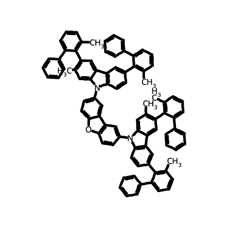 Cc1cc2c(cc1-c1c(C)cccc1-c1ccccc1)c1cc(-c3c(C)cccc3-c3ccccc3)ccc1n2-c1ccc2oc3ccc(-n4c5ccc(-c6c(C)cccc6-c6ccccc6)cc5c5cc(-c6c(C)cccc6-c6ccccc6)c(C)cc54)cc3c2c1